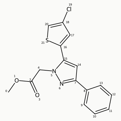 COC(=O)Cn1nc(-c2ccccc2)cc1-c1cc(Cl)cs1